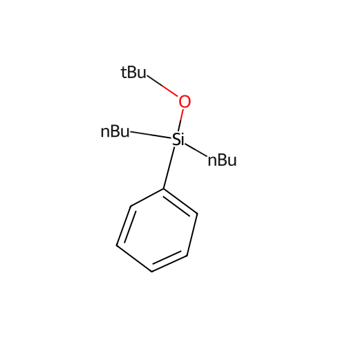 CCCC[Si](CCCC)(OC(C)(C)C)c1ccccc1